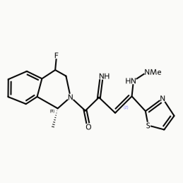 CNN/C(=C\C(=N)C(=O)N1CC(F)c2ccccc2[C@H]1C)c1nccs1